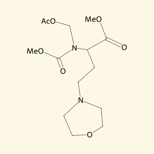 COC(=O)C(CCN1CCOCC1)N(COC(C)=O)C(=O)OC